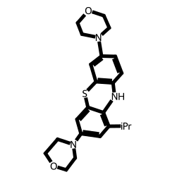 CC(C)c1cc(N2CCOCC2)cc2c1Nc1ccc(N3CCOCC3)cc1S2